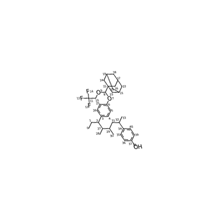 CCC(c1ccc(OC(OCC(F)(F)F)C23CC4CC(CC(C4)C2)C3)cc1)C(C)C(C)CC(C)c1ccc(O)cc1